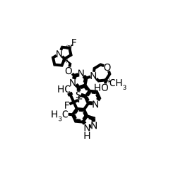 C#CC(F)(F)c1c(C)cc2[nH]ncc2c1-c1nccc2c1sc1nc(OC[C@@]34CCCN3C[C@H](F)C4)nc(N3CCOC[C@@](C)(O)C3)c12